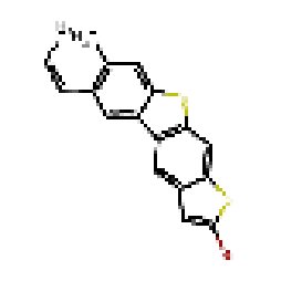 C/C=C\c1cc2c(cc1C)sc1cc3sc(Br)cc3cc12